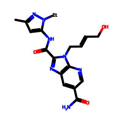 CCn1nc(C)cc1NC(=O)c1nc2cc(C(N)=O)cnc2n1C/C=C/CO